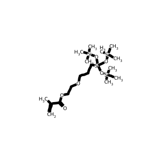 C=C(C)C(=O)OCCOCCC[Si](O[Si](C)(C)C)(O[Si](C)(C)C)O[Si](C)(C)C